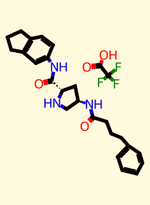 O=C(CCCc1ccccc1)N[C@H]1CN[C@H](C(=O)Nc2ccc3c(c2)CCC3)C1.O=C(O)C(F)(F)F